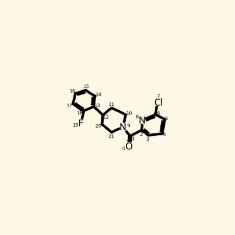 O=C(c1cccc(Cl)n1)N1CCC(c2ccccc2F)CC1